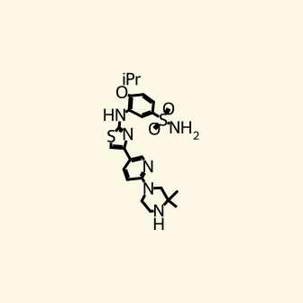 CC(C)Oc1ccc(S(N)(=O)=O)cc1Nc1nc(-c2ccc(N3CCNC(C)(C)C3)nc2)cs1